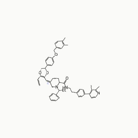 C=CC1=C(/C=C2\CCC(C(=O)NCCc3ccc(-c4ccnc(C)c4C)cc3)N(C(CC)c3ccccc3)C2)OC(c2ccc(OCc3ccc(C)c(C)c3)cc2)CO1